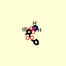 Cc1ccc(N2C[C@H]3C[C@@H](C2)N3C(=O)OC(C)(C)C)cc1C(=O)OCc1ccccc1